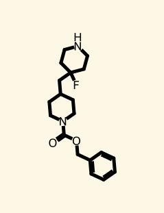 O=C(OCc1ccccc1)N1CCC(CC2(F)CCNCC2)CC1